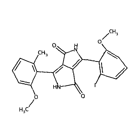 COc1cccc(C)c1C1=C2C(=O)NC(c3c(I)cccc3OC)=C2C(=O)N1